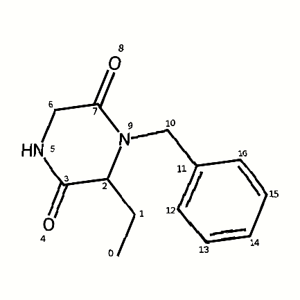 CCC1C(=O)NCC(=O)N1Cc1ccccc1